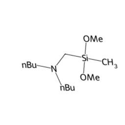 CCCCN(CCCC)C[Si](C)(OC)OC